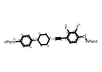 CCCCCOc1ccc(C#C[C@H]2CC[C@H](c3ccc(CCCCC)cc3)CC2)c(F)c1F